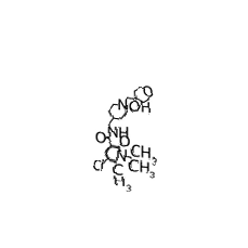 Cc1c(Cl)cc(C(=O)NCC2CCN(CC3(O)CCOCC3)CC2)c(=O)n1C(C)C